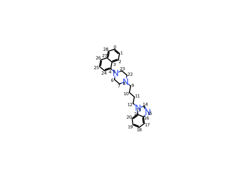 c1ccc2c(N3CCN(CCCCn4cnc5ccccc54)CC3)cccc2c1